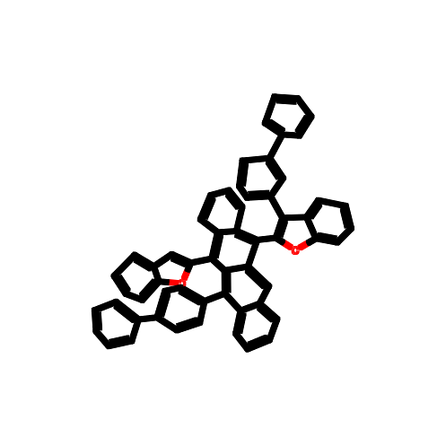 c1ccc(-c2ccc(-c3c4ccccc4cc4c(-c5oc6ccccc6c5-c5cccc(-c6ccccc6)c5)c5ccccc5c(-c5cc6ccccc6o5)c34)cc2)cc1